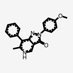 COc1ccc(-n2nc3c(-c4ccccc4)c(C)[nH]cc-3c2=O)cc1